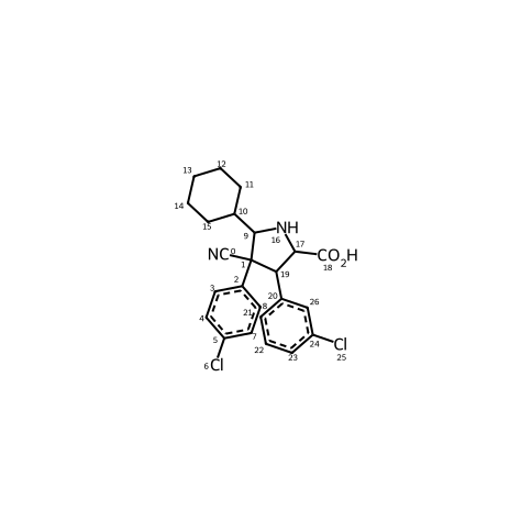 N#CC1(c2ccc(Cl)cc2)C(C2CCCCC2)NC(C(=O)O)C1c1cccc(Cl)c1